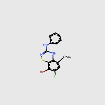 COc1cc(Cl)c(Br)c2c1NC(Nc1ccccc1)=NS2